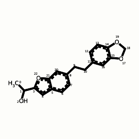 CC(O)c1cc2ccc(CCc3ccc4c(c3)OCO4)cc2o1